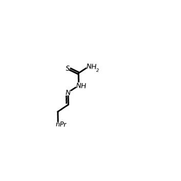 CCCCC=NNC(N)=S